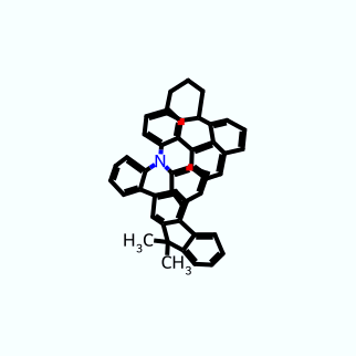 CC1(C)c2ccccc2-c2ccc(-c3ccccc3N(c3ccccc3)c3ccccc3-c3cccc4cccc(C5CCCCC5)c34)cc21